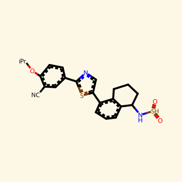 CC(C)Oc1ccc(-c2ncc(-c3cccc4c3CCCC4N[SH](=O)=O)s2)cc1C#N